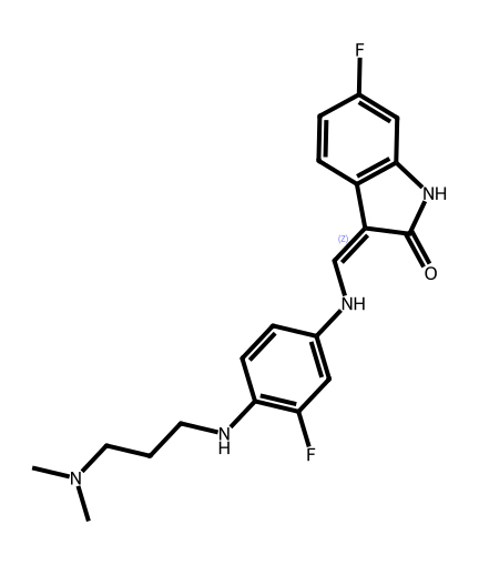 CN(C)CCCNc1ccc(N/C=C2\C(=O)Nc3cc(F)ccc32)cc1F